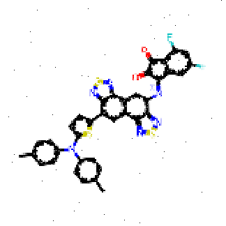 Cc1ccc(N(c2ccc(C)cc2)c2ccc(-c3cc4c(cc(/N=c5\c(=O)c(=O)c6c(F)cc(F)cc56)c5nsnc54)c4nsnc34)s2)cc1